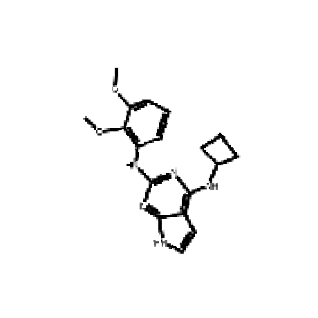 COc1cccc(Nc2nc(NC3CCC3)c3cc[nH]c3n2)c1OC